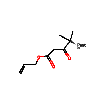 C=CCOC(=O)CC(=O)C(C)(C)[C@@H](C)CCC